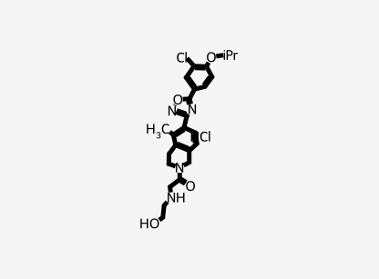 Cc1c(-c2noc(-c3ccc(OC(C)C)c(Cl)c3)n2)ccc2c1CCN(C(=O)CNCCO)C2.Cl